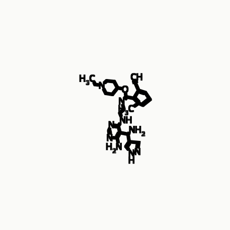 C#Cc1cccc(C)c1/C(=N\CCNc1ncnc(N)c1C(N)c1cn[nH]c1)OC1CCN(CC)CC1